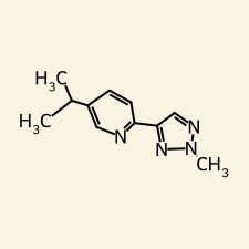 CC(C)c1ccc(-c2cnn(C)n2)nc1